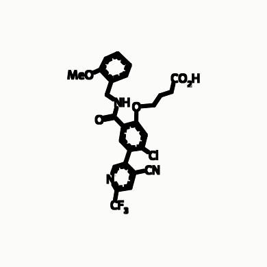 COc1ccccc1CNC(=O)c1cc(-c2cnc(C(F)(F)F)cc2C#N)c(Cl)cc1OCCCC(=O)O